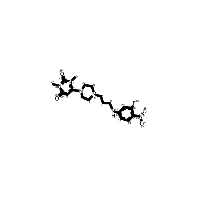 Cn1c(N2CCN(CCCNc3ccc([N+](=O)[O-])c(F)c3)CC2)cc(=O)n(C)c1=O